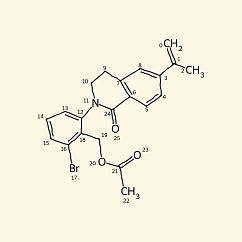 C=C(C)c1ccc2c(c1)CCN(c1cccc(Br)c1COC(C)=O)C2=O